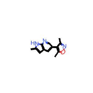 Cc1cc2cc(-c3c(C)noc3C)cnc2[nH]1